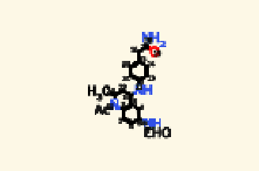 CC(=O)N1c2ccc(NC=O)cc2C(Nc2ccc(CC(N)=O)cc2)CC1C